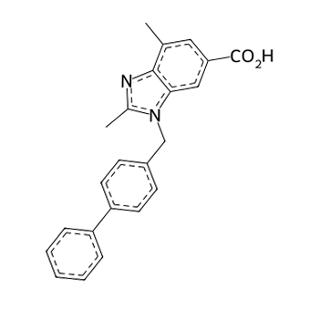 Cc1cc(C(=O)O)cc2c1nc(C)n2Cc1ccc(-c2ccccc2)cc1